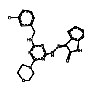 O=C1Nc2ccccc2/C1=N/Nc1nc(NCc2cccc(Cl)c2)nc(N2CCOCC2)n1